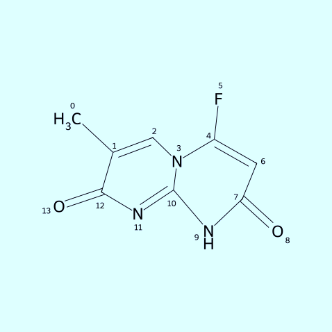 Cc1cn2c(F)cc(=O)[nH]c2nc1=O